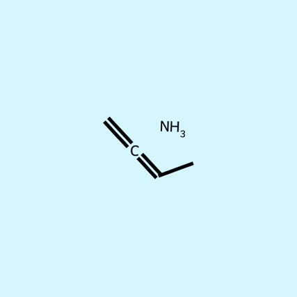 C=C=CC.N